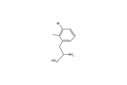 Cc1c(Br)cccc1CC(N)C(=O)O